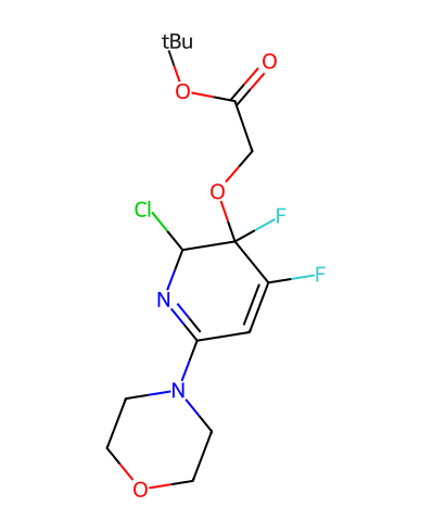 CC(C)(C)OC(=O)COC1(F)C(F)=CC(N2CCOCC2)=NC1Cl